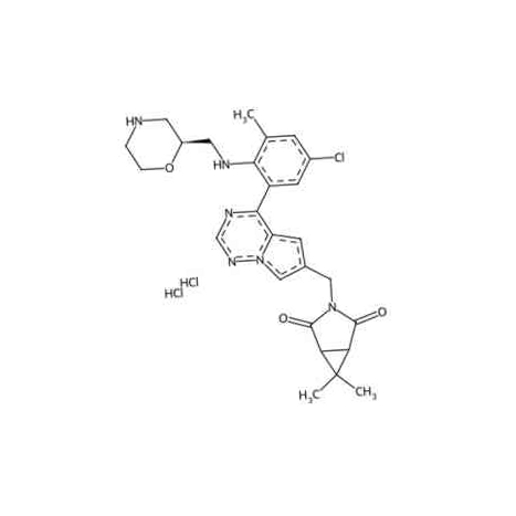 Cc1cc(Cl)cc(-c2ncnn3cc(CN4C(=O)C5C(C4=O)C5(C)C)cc23)c1NC[C@@H]1CNCCO1.Cl.Cl